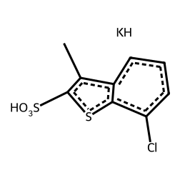 Cc1c(S(=O)(=O)O)sc2c(Cl)cccc12.[KH]